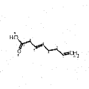 C=CCCC=CCC(=O)O